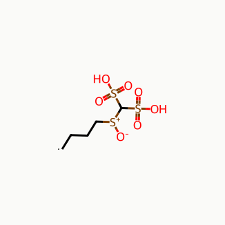 [CH2]CCC[S+]([O-])C(S(=O)(=O)O)S(=O)(=O)O